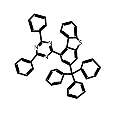 c1ccc(-c2nc(-c3ccccc3)nc(-c3cc(C(c4ccccc4)(c4ccccc4)c4ccccc4)cc4sc5ccccc5c34)n2)cc1